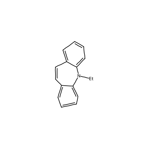 CCN1c2ccccc2C=Cc2ccccc21